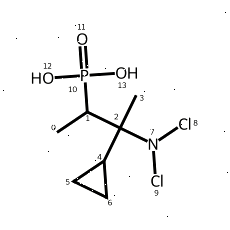 CC(C(C)(C1CC1)N(Cl)Cl)P(=O)(O)O